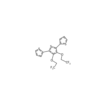 FC(F)(F)COc1c(-c2cccs2)sc(-c2cccs2)c1OCC(F)(F)F